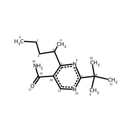 CCCC(C)c1nc(C(C)(C)C)ncc1C(N)=O